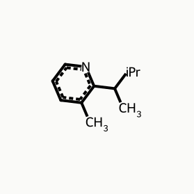 Cc1cccnc1C(C)C(C)C